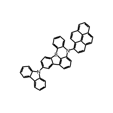 c1ccc2c(c1)B1c3ccc(-n4c5ccccc5c5ccccc54)cc3-c3cccc(c31)N2c1ccc2ccc3cccc4ccc1c2c34